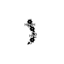 CCOc1ccc([C@H](C)NC(=O)OCc2ccc(C(=O)Nc3ccccc3S)cc2)cc1